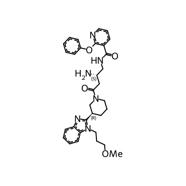 COCCCn1c([C@@H]2CCCN(C(=O)C[C@H](N)CNC(=O)c3cccnc3Oc3ccccc3)C2)nc2ccccc21